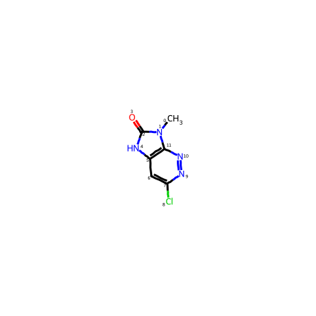 Cn1c(=O)[nH]c2cc(Cl)nnc21